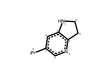 CC(C)c1cnc2c(c1)NCC2